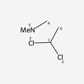 CC(Cl)Cl.CNC